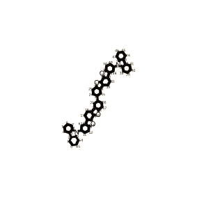 C1=CC2c3ccccc3N(c3ccc4oc5c(ccc6c7cc(-c8ccc9oc%10c(ccc%11c%12cc(-n%13c%14ccccc%14c%14ccccc%14%13)ccc%12oc%11%10)c9c8)ccc7oc65)c4c3)C2C=C1